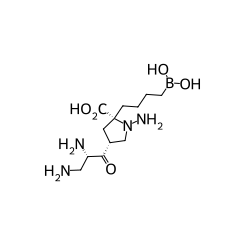 NC[C@H](N)C(=O)[C@H]1CN(N)[C@@](CCCCB(O)O)(C(=O)O)C1